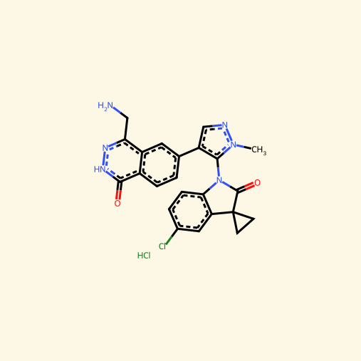 Cl.Cn1ncc(-c2ccc3c(=O)[nH]nc(CN)c3c2)c1N1C(=O)C2(CC2)c2cc(Cl)ccc21